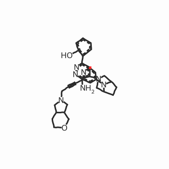 Nc1nnc(-c2ccccc2O)cc1N1CC2CCC(C1)N2c1ccnc(C#CCN2CC3CCOCC3C2)c1